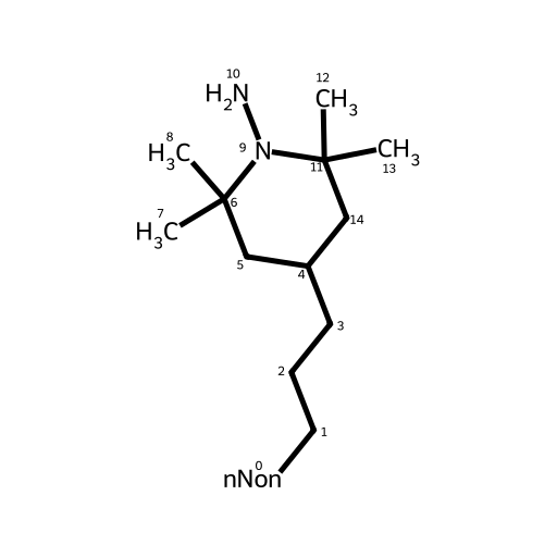 CCCCCCCCCCCCC1CC(C)(C)N(N)C(C)(C)C1